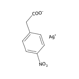 O=C([O-])Cc1ccc([N+](=O)[O-])cc1.[Ag+]